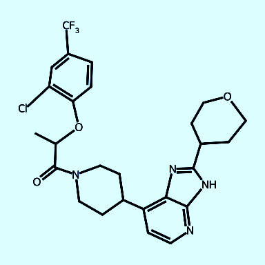 CC(Oc1ccc(C(F)(F)F)cc1Cl)C(=O)N1CCC(c2ccnc3[nH]c(C4CCOCC4)nc23)CC1